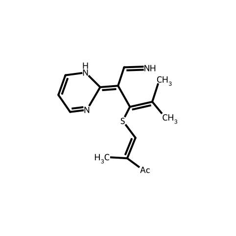 CC(=O)/C(C)=C/SC(=C(C)C)/C(C=N)=C1\N=CC=CN1